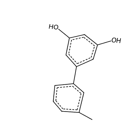 Cc1cccc(-c2cc(O)cc(O)c2)c1